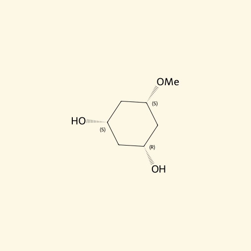 CO[C@@H]1C[C@H](O)C[C@H](O)C1